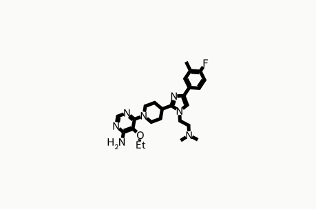 CCOc1c(N)ncnc1N1CCC(c2nc(-c3ccc(F)c(C)c3)cn2CCN(C)C)CC1